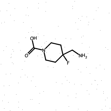 NCC1(F)CCN(C(=O)O)CC1